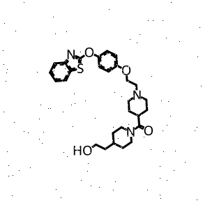 O=C(C1CCN(CCOc2ccc(Oc3nc4ccccc4s3)cc2)CC1)N1CCC(CCO)CC1